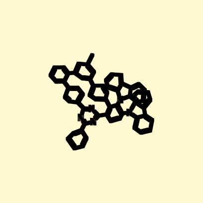 Cc1cc(-c2ccccc2)cc(-c2ccccc2-c2ccc(-c3nc(-c4ccccc4)nc(-c4ccc(-n5c6ccccc6c6ccccc65)c(-n5c6ccccc6c6ccccc65)c4C)n3)cc2)c1